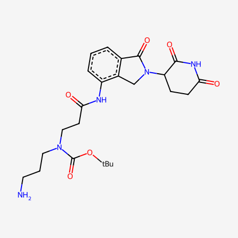 CC(C)(C)OC(=O)N(CCCN)CCC(=O)Nc1cccc2c1CN(C1CCC(=O)NC1=O)C2=O